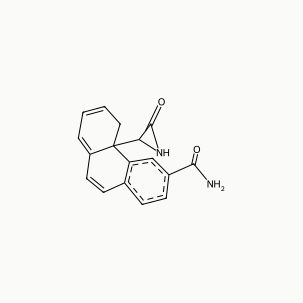 NC(=O)c1ccc2c(c1)C1(C3NC3=O)CC=CC=C1C=C2